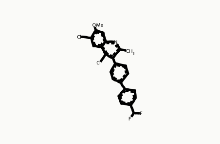 COc1cc2nc(C)c(-c3ccc(-c4ccc(C(F)F)cc4)cc3)c(Cl)c2cc1Cl